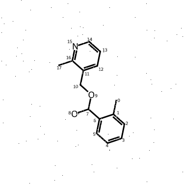 Cc1ccccc1C([O])OCc1cccnc1C